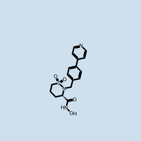 O=C(NO)[C@H]1CCCS(=O)(=O)N1Cc1ccc(-c2ccncc2)cc1